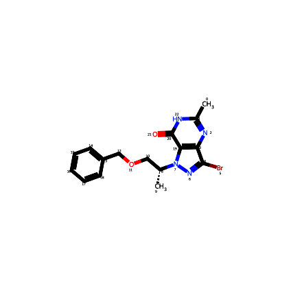 Cc1nc2c(Br)nn([C@H](C)COCc3ccccc3)c2c(=O)[nH]1